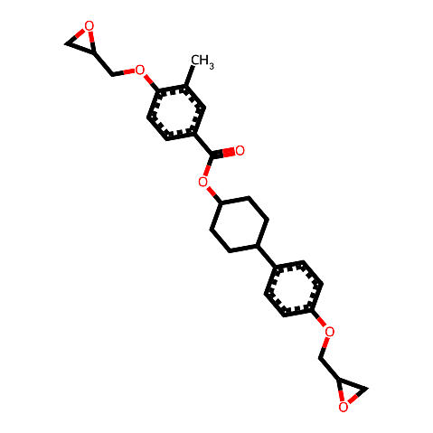 Cc1cc(C(=O)OC2CCC(c3ccc(OCC4CO4)cc3)CC2)ccc1OCC1CO1